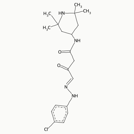 CC1(C)CC(NC(=O)CC(=O)C=NNc2ccc(Cl)cc2)CC(C)(C)N1